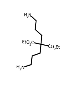 CCOC(=O)C(CCCN)(CCCN)C(=O)OCC